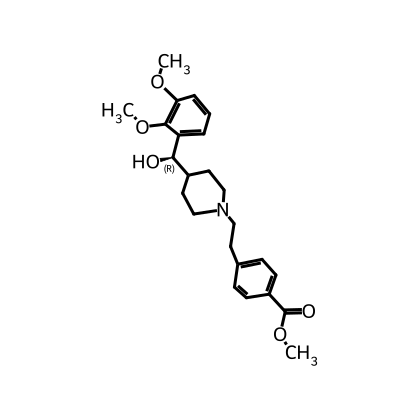 COC(=O)c1ccc(CCN2CCC([C@@H](O)c3cccc(OC)c3OC)CC2)cc1